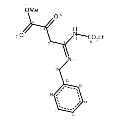 CCOC(=O)N/C(CC(=O)C(=O)OC)=N/Cc1ccccc1